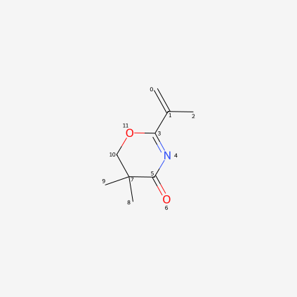 C=C(C)C1=NC(=O)C(C)(C)CO1